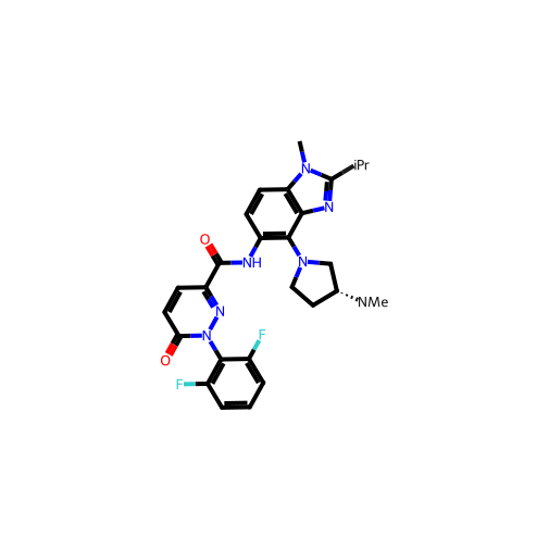 CN[C@@H]1CCN(c2c(NC(=O)c3ccc(=O)n(-c4c(F)cccc4F)n3)ccc3c2nc(C(C)C)n3C)C1